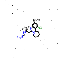 C=NC(C/C(C)=N\CN)N1CCCCCC1c1ccc(NC)cc1Cl